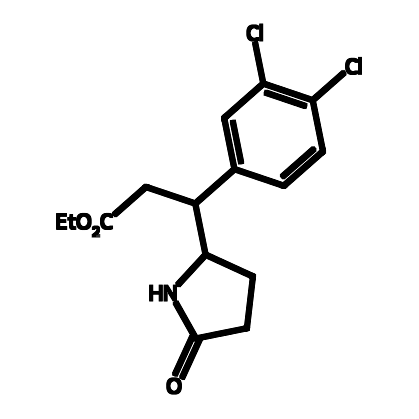 CCOC(=O)CC(c1ccc(Cl)c(Cl)c1)C1CCC(=O)N1